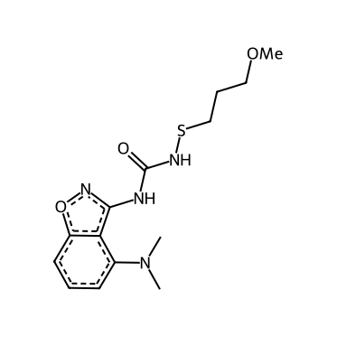 COCCCSNC(=O)Nc1noc2cccc(N(C)C)c12